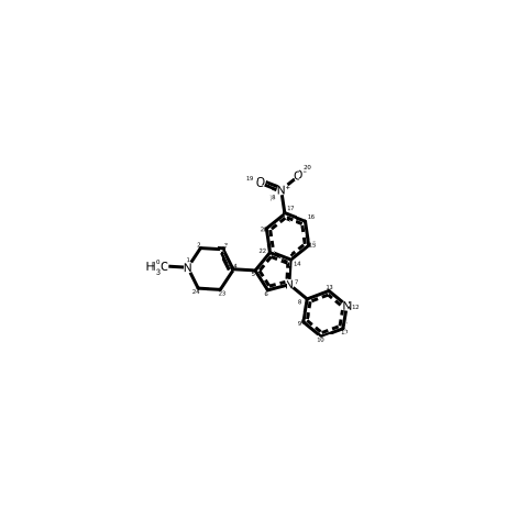 CN1CC=C(c2cn(-c3cccnc3)c3ccc([N+](=O)[O-])cc23)CC1